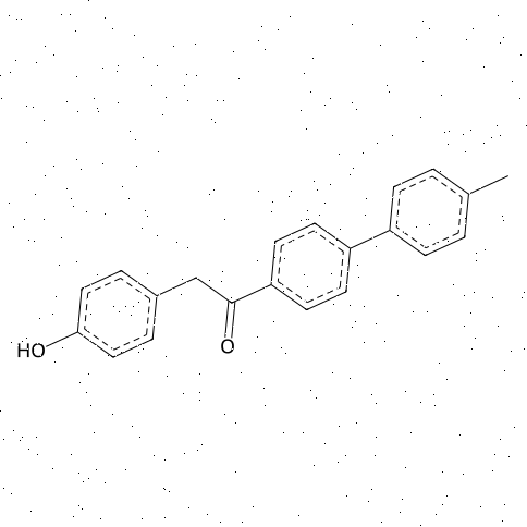 Cc1ccc(-c2ccc(C(=O)Cc3ccc(O)cc3)cc2)cc1